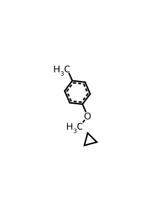 C1CC1.COc1ccc(C)cc1